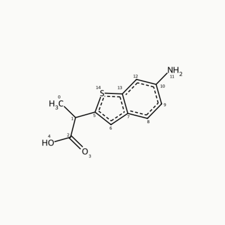 CC(C(=O)O)c1cc2ccc(N)cc2s1